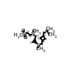 CN(C)CC1CC(CN(C)C2CC2CN(C)CCS(C)(=O)=O)C1